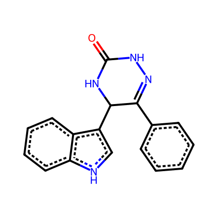 O=C1NN=C(c2ccccc2)C(c2c[nH]c3ccccc23)N1